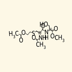 COC(=O)[C@H](CO)NC(=O)[C@H](CSCCOC(C)=O)NC(C)=O